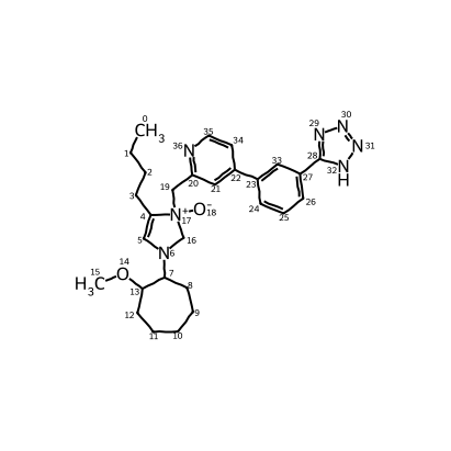 CCCCC1=CN(C2CCCCCC2OC)C[N+]1([O-])Cc1cc(-c2cccc(-c3nnn[nH]3)c2)ccn1